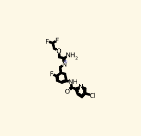 N/C(COCC(F)F)=N/CC1CC(NC(=O)c2ccc(Cl)cn2)=CC=C1F